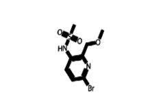 COCc1nc(Br)ccc1NS(C)(=O)=O